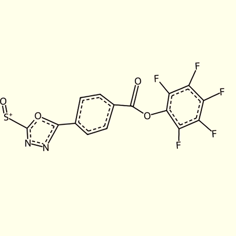 O=[S+]c1nnc(-c2ccc(C(=O)Oc3c(F)c(F)c(F)c(F)c3F)cc2)o1